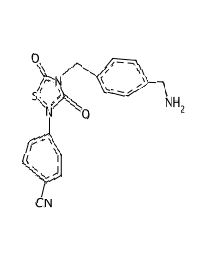 N#Cc1ccc(-n2sc(=O)n(Cc3ccc(CN)cc3)c2=O)cc1